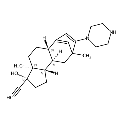 C#C[C@]1(O)CC[C@H]2[C@@H]3CC4(C)C=C(C=C4N4CCNCC4)[C@H]3CC[C@@]21C